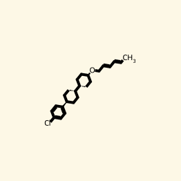 CC=CC=CCO[C@H]1CC[C@H]([C@H]2CC[C@H](c3ccc(Cl)cc3)CC2)CC1